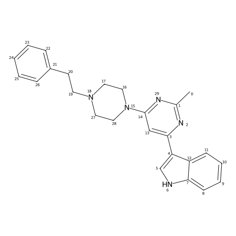 Cc1nc(-c2c[nH]c3ccccc23)cc(N2CCN(CCc3ccccc3)CC2)n1